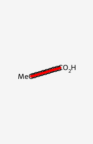 COCCOCCOCCOCCOCCOCCOCCOCCOCCOCCOCCOCCOCCOCCOCCOCCOCCC(=O)O